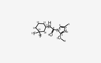 COc1nc(C)cn1C(=O)NC1CCCC(F)(F)C1